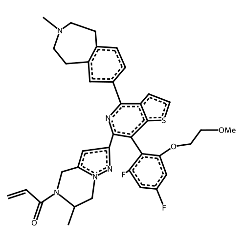 C=CC(=O)N1Cc2cc(-c3nc(-c4ccc5c(c4)CCN(C)CC5)c4ccsc4c3-c3c(F)cc(F)cc3OCCOC)nn2CC1C